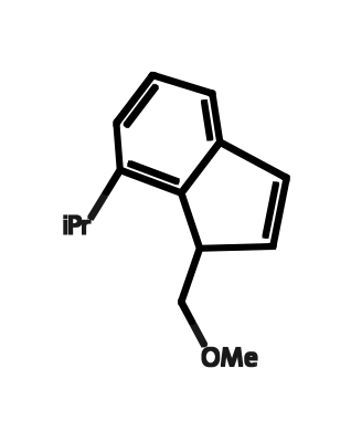 COCC1C=Cc2cccc(C(C)C)c21